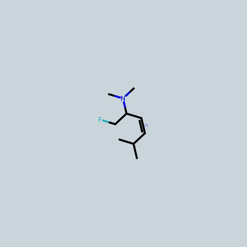 CC(C)/C=C\C(CF)N(C)C